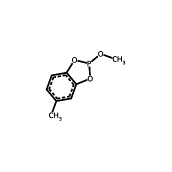 COP1Oc2ccc(C)cc2O1